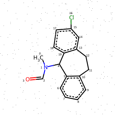 CN(C=O)C1c2ccccc2CCc2cc(Cl)ccc21